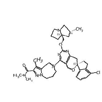 Cc1c(C(=O)N(C)C)nn2c1CN(c1nc(OC[C@@]34CCCN3C[C@H](C)C4)nc3c1CO[C@@]1(CCc4c(Cl)cccc41)C3)CCC2